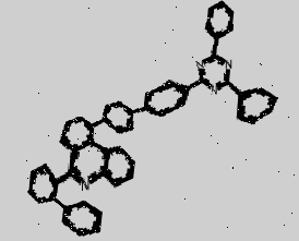 c1ccc(-c2nc(-c3ccccc3)nc(-c3ccc(-c4ccc(-c5cccc6c(-c7ccccc7-c7ccccc7)nc7ccccc7c56)cc4)cc3)n2)cc1